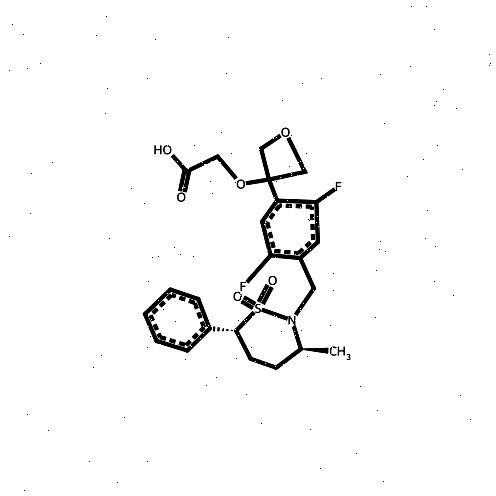 C[C@H]1CC[C@H](c2ccccc2)S(=O)(=O)N1Cc1cc(F)c(C2(OCC(=O)O)COC2)cc1F